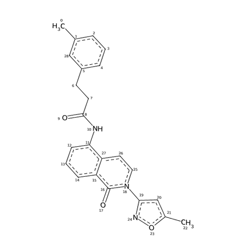 Cc1cccc(CCC(=O)Nc2cccc3c(=O)n(-c4cc(C)on4)ccc23)c1